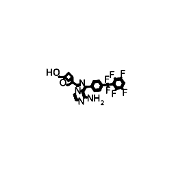 Nc1nccn2c(C3=C4CC(CO)(C4)OC3)nc(-c3ccc(C(F)(F)c4c(F)c(F)cc(F)c4F)cc3)c12